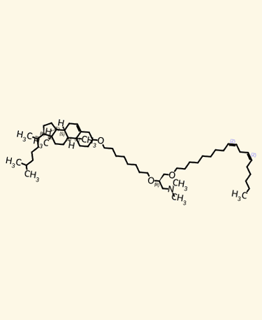 CCCCC/C=C\C/C=C\CCCCCCCCOC[C@@H](CN(C)C)OCCCCCCCCOC1CC[C@@]2(C)C(=CC[C@H]3[C@@H]4CC[C@H]([C@H](C)CCCC(C)C)[C@@]4(C)CC[C@@H]32)C1